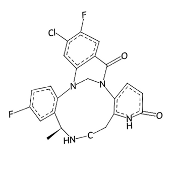 C[C@@H]1NCCc2[nH]c(=O)ccc2N2CN(c3cc(Cl)c(F)cc3C2=O)c2ccc(F)cc21